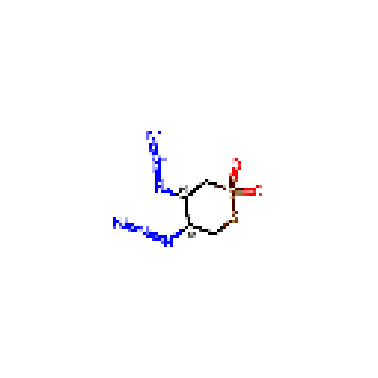 [N-]=[N+]=N[C@H]1CS(=O)(=O)SC[C@H]1N=[N+]=[N-]